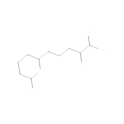 [O]C1CCCC(CCCC(O)C(O)O)O1